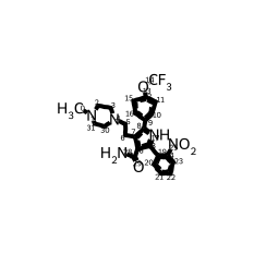 CN1CCN(CCc2c(-c3ccc(OC(F)(F)F)cc3)[nH]c(-c3ccccc3[N+](=O)[O-])c2C(N)=O)CC1